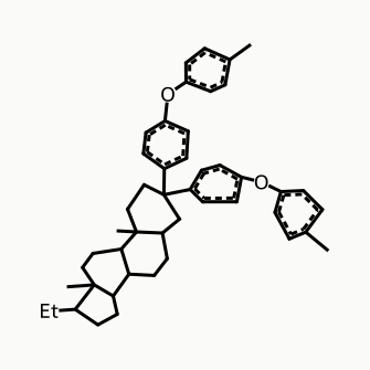 CCC1CCC2C3CCC4CC(c5ccc(Oc6ccc(C)cc6)cc5)(c5ccc(Oc6ccc(C)cc6)cc5)CCC4(C)C3CCC12C